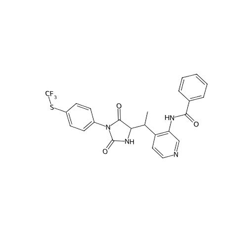 CC(c1ccncc1NC(=O)c1ccccc1)C1NC(=O)N(c2ccc(SC(F)(F)F)cc2)C1=O